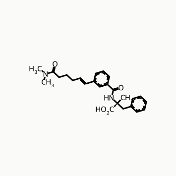 CN(C)C(=O)CCCC=Cc1cccc(C(=O)N[C@](C)(Cc2ccccc2)C(=O)O)c1